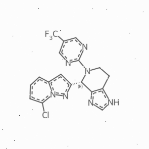 FC(F)(F)c1cnc(N2CCc3[nH]cnc3[C@@H]2c2cc3cccc(Cl)n3n2)nc1